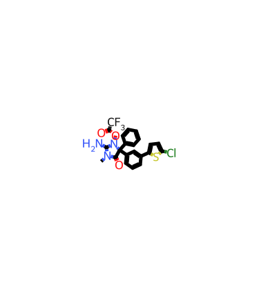 CN1C(=O)C(c2ccccc2)(c2cccc(-c3ccc(Cl)s3)c2)N(OC(=O)C(F)(F)F)C1N